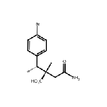 C[C@H](c1ccc(Br)cc1)[C@](C)(CC(N)=O)C(=O)O